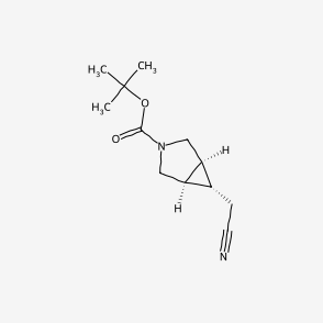 CC(C)(C)OC(=O)N1C[C@@H]2[C@@H](CC#N)[C@@H]2C1